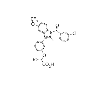 CC[C@H](Oc1cccc(-n2c(C)c(C(=O)c3cccc(Cl)c3)c3ccc(OC(F)(F)F)cc32)c1)C(=O)O